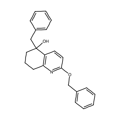 OC1(Cc2ccccc2)CCCc2nc(OCc3ccccc3)ccc21